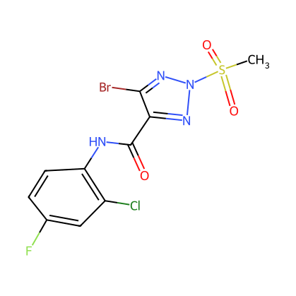 CS(=O)(=O)n1nc(Br)c(C(=O)Nc2ccc(F)cc2Cl)n1